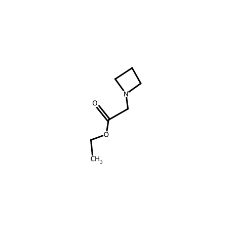 CCOC(=O)CN1CCC1